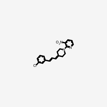 O=[N+]([O-])c1cccnc1N1CCC(=CC=Cc2cccc(Cl)c2)CC1